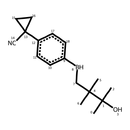 CC(C)(O)C(C)(C)CBc1ccc(C2(C#N)CC2)cc1